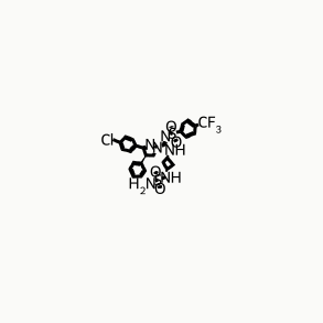 NS(=O)(=O)N[C@H]1C[C@@H](N/C(=N\S(=O)(=O)c2ccc(C(F)(F)F)cc2)N2C[C@@H](c3ccccc3)C(c3ccc(Cl)cc3)=N2)C1